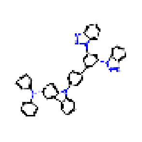 c1ccc(N(c2ccccc2)c2ccc3c(c2)c2ccccc2n3-c2ccc(-c3cc(-n4nnc5ccccc54)cc(-n4nnc5ccccc54)c3)cc2)cc1